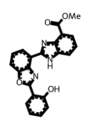 COC(=O)c1cccc2[nH]c(-c3cccc4oc(-c5ccccc5O)nc34)nc12